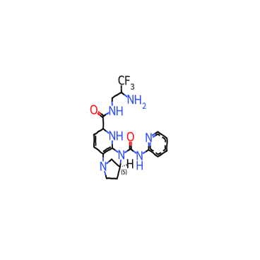 NC(CNC(=O)C1C=CC2=C(N1)N(C(=O)Nc1ccccn1)[C@H]1CCN2C1)C(F)(F)F